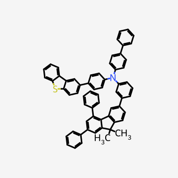 CC1(C)c2ccc(-c3cccc(N(c4ccc(-c5ccccc5)cc4)c4ccc(-c5ccc6sc7ccccc7c6c5)cc4)c3)cc2-c2c(-c3ccccc3)cc(-c3ccccc3)cc21